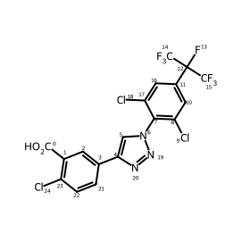 O=C(O)c1cc(-c2cn(-c3c(Cl)cc(C(F)(C(F)(F)F)C(F)(F)F)cc3Cl)nn2)ccc1Cl